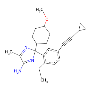 CCc1ccc(C#CC2CC2)cc1C1(C2CCC(OC)CC2)N=C(C)C(N)=N1